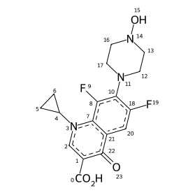 O=C(O)c1cn(C2CC2)c2c(F)c(N3CCN(O)CC3)c(F)cc2c1=O